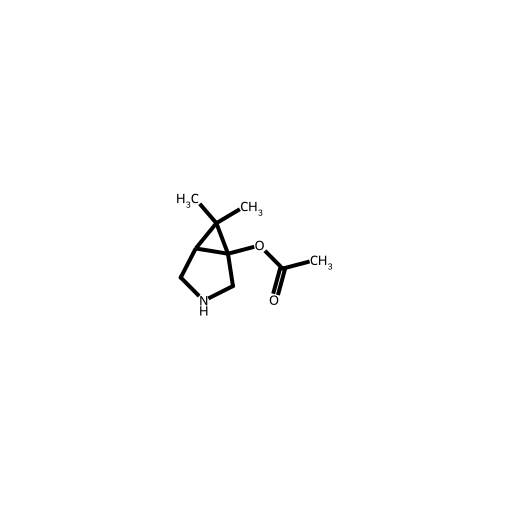 CC(=O)OC12CNCC1C2(C)C